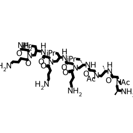 CC(=O)N(CC(=O)N[C@@H](C)CN(CC(=O)N[C@@H](CC(C)C)CN(CC(=O)NC(CC(C)C)CN(CC(=O)NC(CC(C)C)CN(CC(N)=O)C(=O)CCCN)C(=O)CCCN)C(=O)CCCN)C(C)=O)C[C@H](C)N